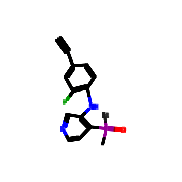 C#Cc1ccc(Nc2cnccc2P(C)(=O)CC)c(F)c1